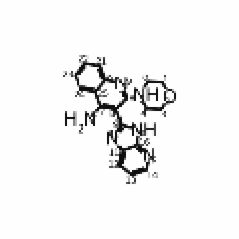 C1COCCN1.Nc1c(-c2nc3cccnc3[nH]2)cnc2ccccc12